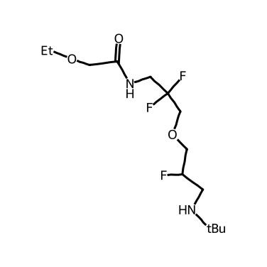 CCOCC(=O)NCC(F)(F)COCC(F)CNC(C)(C)C